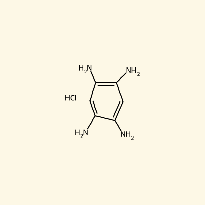 Cl.Nc1cc(N)c(N)cc1N